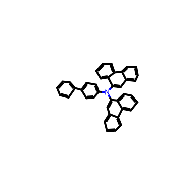 c1ccc(-c2ccc(N(c3cc4ccccc4c4ccccc34)c3cc4ccccc4c4ccccc34)cc2)cc1